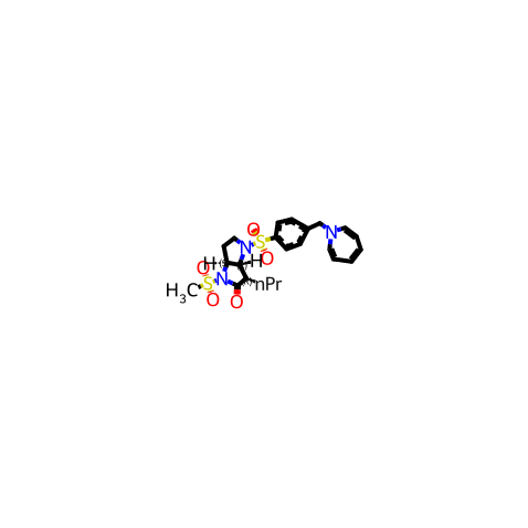 CCC[C@H]1C(=O)N(S(C)(=O)=O)[C@H]2CCN(S(=O)(=O)c3ccc(CN4C=CC=CC=C4)cc3)[C@H]12